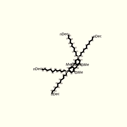 CCCCCCCCCCCCCCCCCCCCN(CCCCCCCCCCCCCCCCCCCC)c1cc(OC)c(Cc2c(OC)cc(N(CCCCCCCCCCCCCCCCCCCC)CCCCCCCCCCCCCCCCCCCC)cc2OC)c(OC)c1